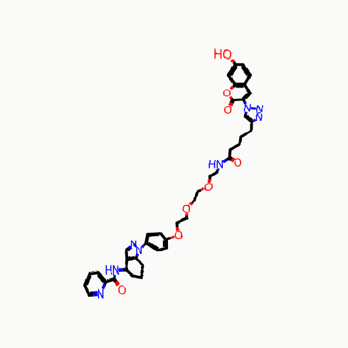 O=C(CCCCc1cn(-c2cc3ccc(O)cc3oc2=O)nn1)NCCOCCOCCOc1ccc(-n2ncc3c2CCCC3NC(=O)c2ccccn2)cc1